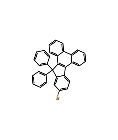 Brc1ccc2c(c1)C(c1ccccc1)(c1ccccc1)c1c-2c2ccccc2c2ccccc12